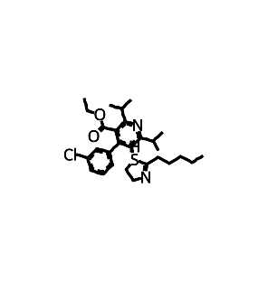 CCCCCC1=NCC[SH]1c1c(C(C)C)nc(C(C)C)c(C(=O)OCC)c1-c1cccc(Cl)c1